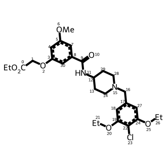 CCOC(=O)COc1cc(OC)cc(C(=O)NC2CCN(Cc3cc(OCC)c(Cl)c(OCC)c3)CC2)c1